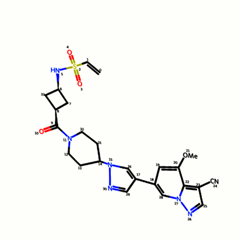 C=CS(=O)(=O)N[C@H]1C[C@@H](C(=O)N2CCC(n3cc(-c4cc(OC)c5c(C#N)cnn5c4)cn3)CC2)C1